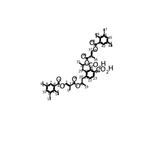 C/C(=C\OC(=O)c1cc(I)cc(I)c1I)C(=O)OC(C)Cc1ccc(C(=O)O)c(C(=O)O)c1CC(C)OC(=O)/C(C)=C/OC(=O)c1cc(I)cc(I)c1I